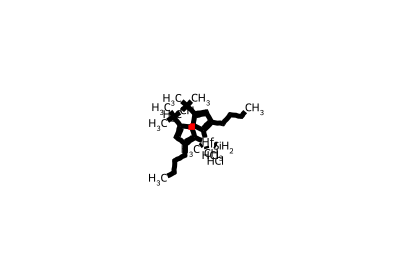 CCCCC1=[C]([Hf]([CH3])([CH3])(=[SiH2])[C]2=C(CCCC)C=C(C(C)(C)C)C2)CC(C(C)(C)C)=C1.Cl.Cl